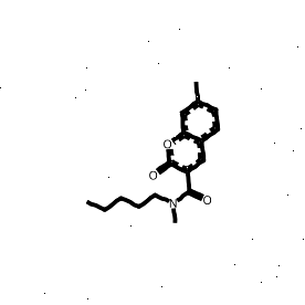 CCCCCN(C)C(=O)c1cc2ccc(C)cc2oc1=O